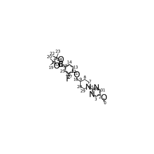 COc1cnc(N2CCC(COc3ccc(B4OC(C)(C)C(C)(C)O4)cc3F)CC2)nc1